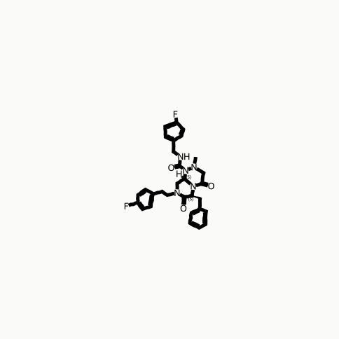 CN1CC(=O)N2[C@@H](Cc3ccccc3)C(=O)N(CCc3ccc(F)cc3)C[C@@H]2N1C(=O)NCc1ccc(F)cc1